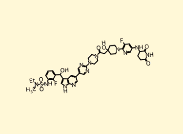 CCN(C)S(=O)(=O)Nc1cccc(C(O)c2c[nH]c3ncc(-c4cnc(N5CCN(C(=O)CC6(O)CCN(c7ncc(NC8CCC(=O)NC8=O)cc7F)CC6)CC5)nc4)cc23)c1F